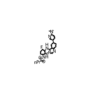 CCCS(=O)(=O)Nc1ccc(F)c(Nc2ncnc3ccc(-c4ccc(N(C)C)nc4)cc23)c1F